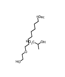 CC(O)C(=O)O.CCCCCCCCCCCCCCCCCCOCCO